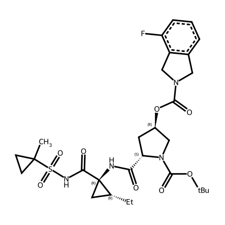 CC[C@@H]1C[C@]1(NC(=O)[C@@H]1C[C@@H](OC(=O)N2Cc3cccc(F)c3C2)CN1C(=O)OC(C)(C)C)C(=O)NS(=O)(=O)C1(C)CC1